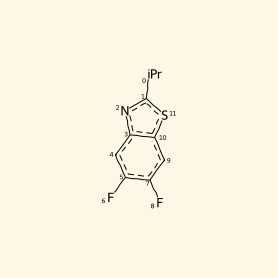 CC(C)c1nc2cc(F)c(F)cc2s1